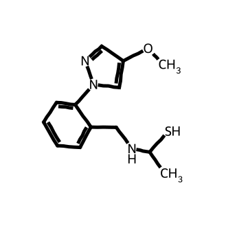 COc1cnn(-c2ccccc2CNC(C)S)c1